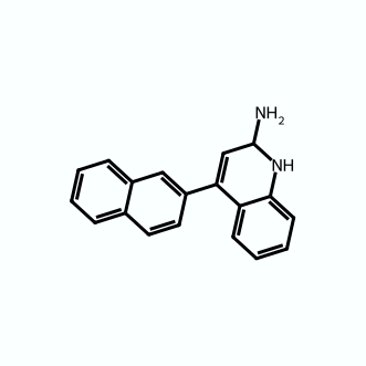 NC1C=C(c2ccc3ccccc3c2)c2ccccc2N1